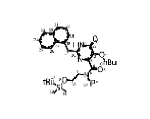 CCCCOc1c(C(=O)N(CCO[Si](C)(C)C(C)(C)C)C(C)C)nc(Cc2cccc3ccccc23)[nH]c1=O